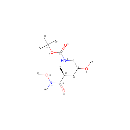 CO[C@@H](CNC(=O)OC(C)(C)C)C[C@H](C)C(=O)N(C)OC